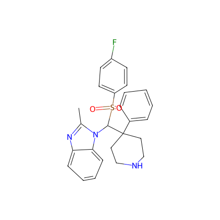 Cc1nc2ccccc2n1C(C1(c2ccccc2)CCNCC1)S(=O)(=O)c1ccc(F)cc1